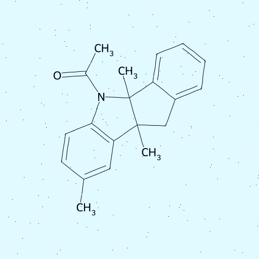 CC(=O)N1c2ccc(C)cc2C2(C)Cc3ccccc3C12C